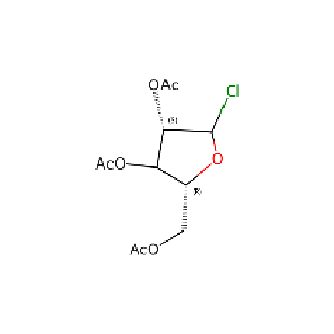 CC(=O)OC[C@H]1OC(Cl)[C@@H](OC(C)=O)C1OC(C)=O